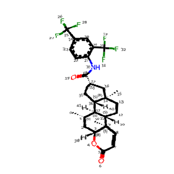 C[C@H]1C[C@H]2OC(=O)C=C[C@]2(C)[C@H]2CC[C@]3(C)C[C@@H](C(=O)Nc4ccc(C(F)(F)F)cc4C(F)(F)F)C[C@H]3[C@H]12